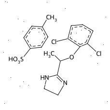 CC(Oc1c(Cl)cccc1Cl)C1=NCCN1.Cc1ccc(S(=O)(=O)O)cc1